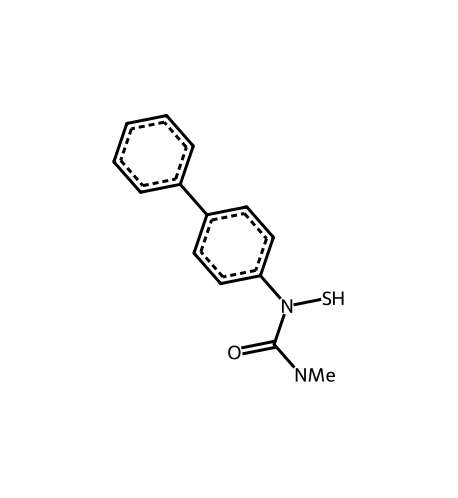 CNC(=O)N(S)c1ccc(-c2ccccc2)cc1